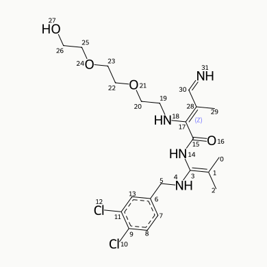 CC(C)=C(NCc1ccc(Cl)c(Cl)c1)NC(=O)/C(NCCOCCOCCO)=C(\C)C=N